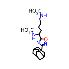 O=C(O)NCCCCC(NC(=O)O)c1nc(C23CC4CC(CC(C4)C2)C3)no1